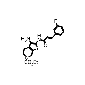 CCOC(=O)N1CCc2c(sc(NC(=O)/C=C/c3cccc(F)c3)c2N)C1